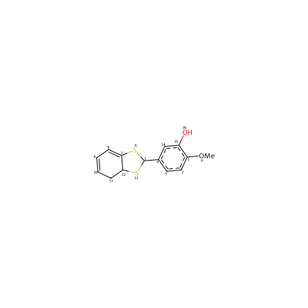 COc1ccc(C2SC3=CC=CCC3S2)cc1O